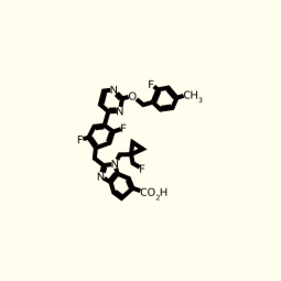 Cc1ccc(COc2nccc(-c3cc(F)c(Cc4nc5ccc(C(=O)O)cc5n4CC4(CF)CC4)cc3F)n2)c(F)c1